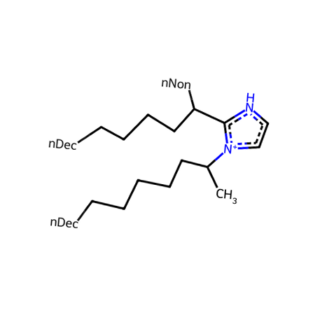 CCCCCCCCCCCCCCCC(C)[n+]1cc[nH]c1C(CCCCCCCCC)CCCCCCCCCCCCCC